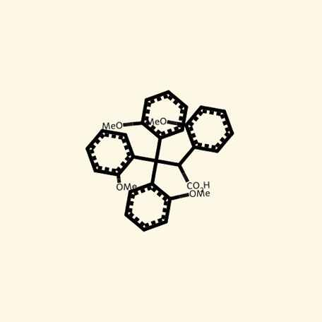 COc1ccccc1C(C(=O)O)C(c1ccccc1OC)(c1ccccc1OC)c1ccccc1OC